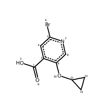 O=C(O)c1cc(Br)ncc1OC1CC1